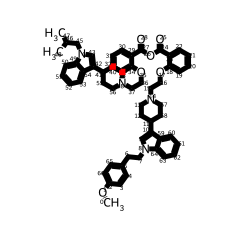 COc1ccc(CCn2cc(C3CCN(CCOc4ccccc4C(=O)OC(=O)c4ccccc4OCCN4CCC(c5cn(CC(C)C)c6ccccc56)CC4)CC3)c3ccccc32)cc1